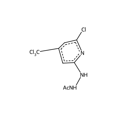 CC(=O)NNc1cc(C(Cl)(Cl)Cl)cc(Cl)n1